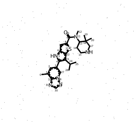 Cc1cc(-c2[nH]c3cc(C(=O)N(C)C4CCNCC4(C)C)sc3c2C(C)C)cn2ncnc12